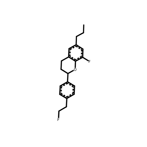 CCCc1cc(F)c2c(c1)CCC(c1ccc(CCF)cc1)O2